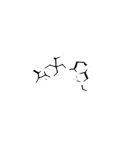 NC1C(=O)N2CC(CSC3=CC=NC4=CN(CO)NN43)(C(=O)O)CS[C@H]12